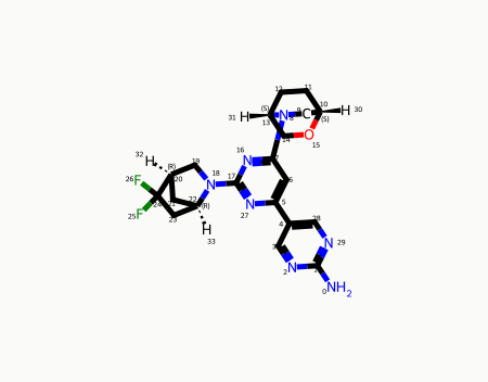 Nc1ncc(-c2cc(N3C[C@@H]4CC[C@H]3CO4)nc(N3C[C@H]4C[C@@H]3CC4(F)F)n2)cn1